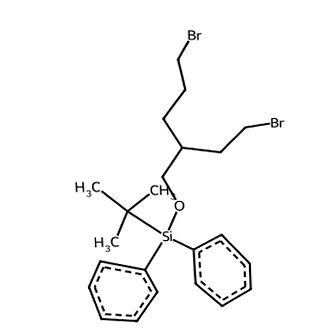 CC(C)(C)[Si](OCC(CCBr)CCCBr)(c1ccccc1)c1ccccc1